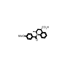 COc1ccc(C(=O)N2c3ccccc3[C@@H](C(=O)O)C[C@@H]2C)cc1